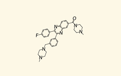 CN1CCN(Cc2cccc(-c3nc4cc(C(=O)N5CCN(C)CC5)ccc4nc3-c3ccc(F)cc3)c2)CC1